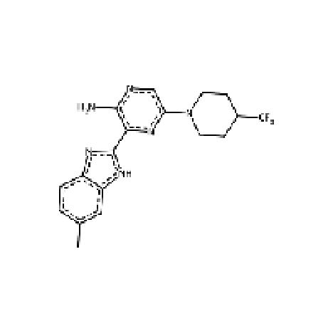 Cc1ccc2nc(-c3nc(N4CCC(C(F)(F)F)CC4)cnc3N)[nH]c2c1